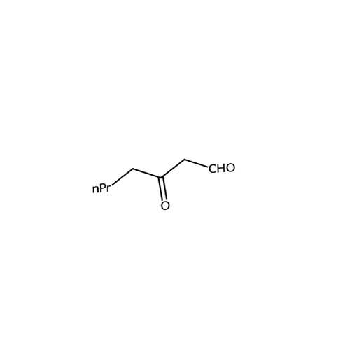 CCCCC(=O)CC=O